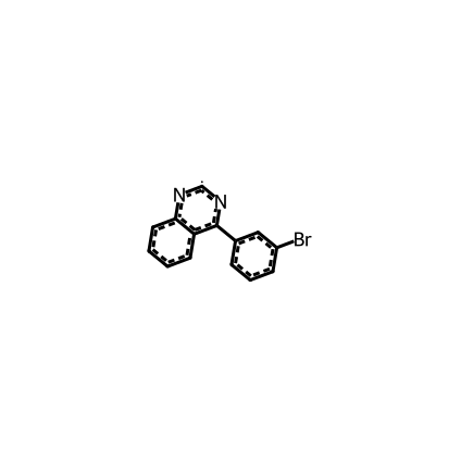 Brc1cccc(-c2n[c]nc3ccccc23)c1